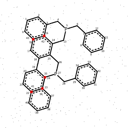 c1ccc(CP(Cc2ccccc2)Cc2cccc(-c3ccccc3)c2CP(Cc2ccccc2)Cc2ccccc2)cc1